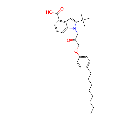 CCCCCCCCc1ccc(OCC(=O)Cn2c(C(C)(C)C)cc3c(C(=O)O)cccc32)cc1